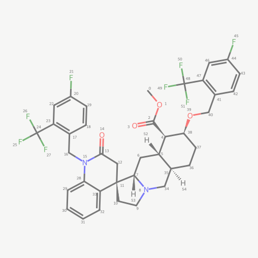 COC(=O)[C@@H]1[C@H]2C[C@@H]3N(CC[C@@]34CC(=O)N(Cc3ccc(F)cc3C(F)(F)F)c3ccccc34)C[C@@H]2CC[C@@H]1OCc1ccc(F)cc1C(F)(F)F